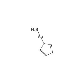 [BH2][Au][CH]1C=CC=C1